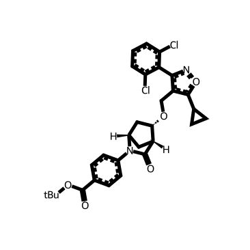 CC(C)(C)OC(=O)c1ccc(N2C(=O)[C@@H]3C[C@H]2C[C@@H]3OCc2c(-c3c(Cl)cccc3Cl)noc2C2CC2)cc1